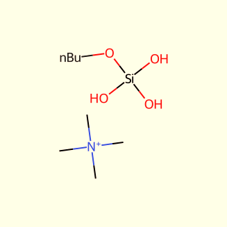 CCCCO[Si](O)(O)O.C[N+](C)(C)C